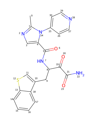 Cc1ncc(C(=O)NC(Cc2csc3ccccc23)C(=O)C(N)=O)n1-c1ccncc1